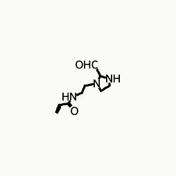 C=CC(=O)NCCN1CCNC1C=O